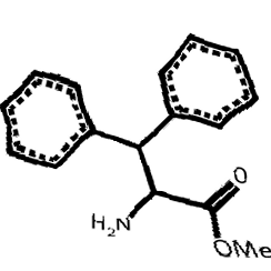 COC(=O)C(N)C(c1ccccc1)c1ccccc1